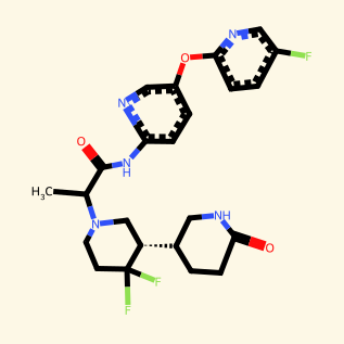 CC(C(=O)Nc1ccc(Oc2ccc(F)cn2)cn1)N1CCC(F)(F)[C@@H](C2CCC(=O)NC2)C1